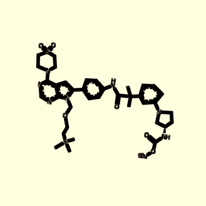 CC(C)(C)OC(=O)N[C@H]1CCN(c2cccc(C(C)(C)C(=O)Nc3ccc(-c4cc5c(N6CCS(=O)(=O)CC6)ncnc5n4COCC[Si](C)(C)C)cc3)c2)C1